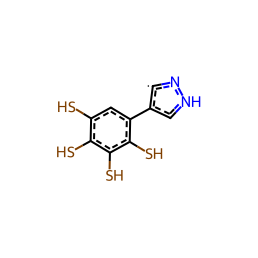 Sc1cc(-c2[c]n[nH]c2)c(S)c(S)c1S